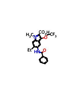 CCc1cc2c(cc1NC(=O)c1ccccc1)c(OCC(F)(F)F)c(C(=O)O)n2C